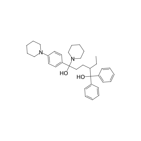 CCC(CCC(O)(c1ccc(N2CCCCC2)cc1)N1CCCCC1)C(O)(c1ccccc1)c1ccccc1